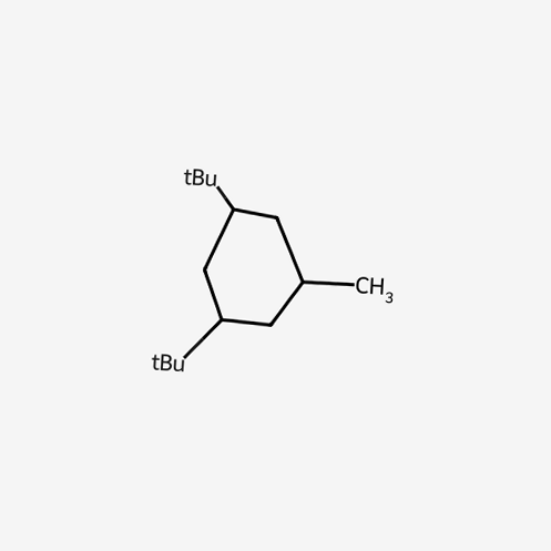 CC1CC(C(C)(C)C)CC(C(C)(C)C)C1